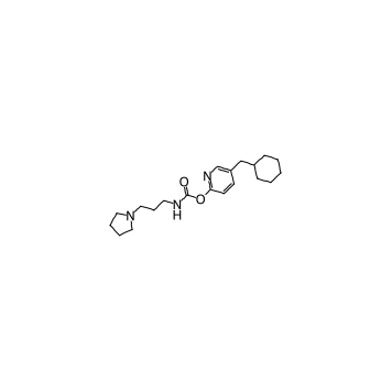 O=C(NCCCN1CCCC1)Oc1ccc(CC2CCCCC2)cn1